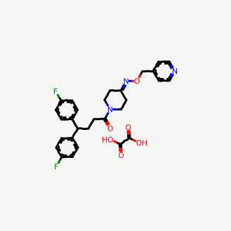 O=C(CCC(c1ccc(F)cc1)c1ccc(F)cc1)N1CCC(=NOCc2ccncc2)CC1.O=C(O)C(=O)O